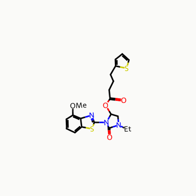 CCN1CC(OC(=O)CCCc2cccs2)N(c2nc3c(OC)cccc3s2)C1=O